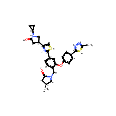 Cc1nnc(-c2ccc(Oc3cc(-c4nc(C5CC(=O)N(C6CC6)C5)cs4)ccc3CN3C[C@@H](C)CC3=O)cc2)s1